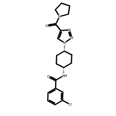 O=C(N[C@H]1CC[C@@H](n2cc(C(=O)N3CCCC3)nn2)CC1)c1cccc(Cl)c1